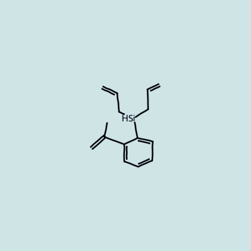 C=CC[SiH](CC=C)c1ccccc1C(=C)C